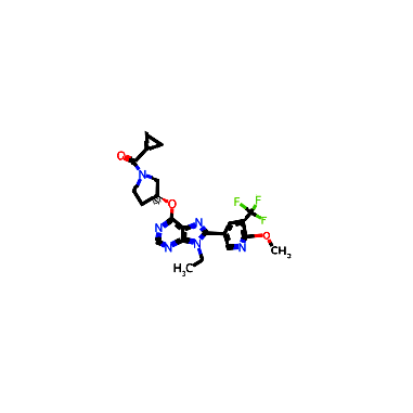 CCn1c(-c2cnc(OC)c(C(F)(F)F)c2)nc2c(O[C@H]3CCN(C(=O)C4CC4)C3)ncnc21